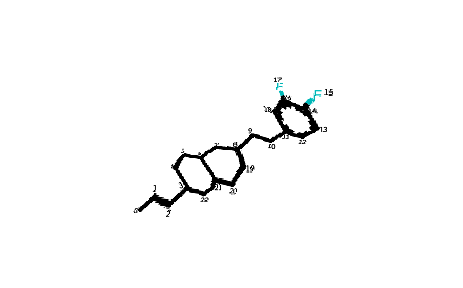 CCCC1CCC2CC(CCc3ccc(F)c(F)c3)CCC2C1